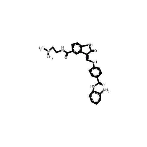 CN(C)CCNC(=O)c1ccc2c(c1)/C(=C/Nc1ccc(C(=O)Nc3ccccc3N)cc1)C(=O)N2